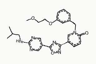 COCCOc1cccc(Cn2cc(-c3noc(-c4cnc(NCC(C)C)nc4)n3)ccc2=O)c1